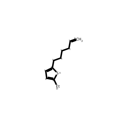 C=CCCCCc1ccc(CC)s1